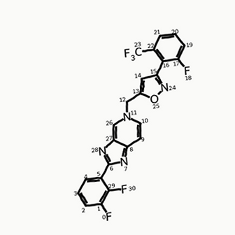 Fc1cccc(-c2nc3ccn(Cc4cc(-c5c(F)cccc5C(F)(F)F)no4)cc-3n2)c1F